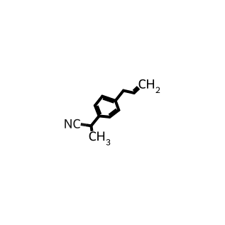 C=CCc1ccc(C(C)C#N)cc1